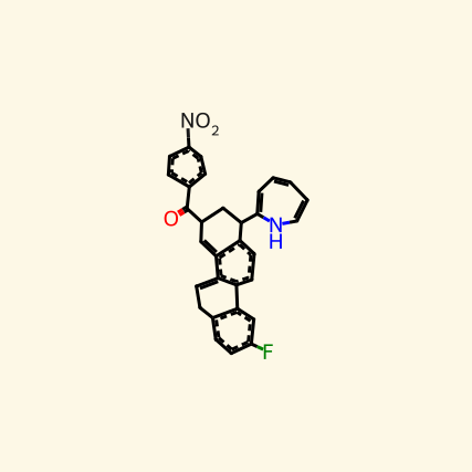 O=C(c1ccc([N+](=O)[O-])cc1)C1C=c2c(ccc3c2=CCc2ccc(F)cc2-3)C(C2=CC=CC=CN2)C1